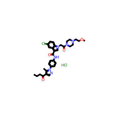 CCCC(=O)c1cnn(-c2ccc(NC(=O)c3cn(CC(=O)N4CCN(CCOC)CC4)c4ccc(Cl)cc34)cc2)c1C.Cl